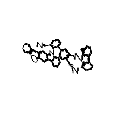 N#Cc1ccc(-c2cccc(C#N)c2-n2c3ccccc3c3cc4oc5ccccc5c4cc32)cc1-n1c2ccccc2c2ccccc21